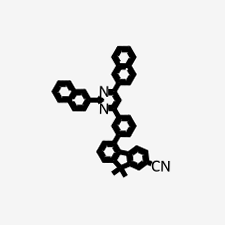 CC1(C)c2cc(C#N)ccc2-c2c(-c3cccc(-c4cc(-c5ccc6ccccc6c5)nc(-c5ccc6ccccc6c5)n4)c3)cccc21